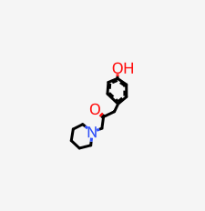 O=C(Cc1ccc(O)cc1)CN1CCCCC1